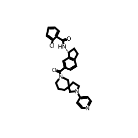 O=C(N[C@@H]1CCc2ccc(C(=O)N3CCCC4(CCN(c5ccncc5)C4)C3)cc21)c1ccccc1Cl